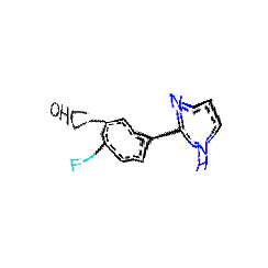 O=Cc1cc(-c2ncc[nH]2)ccc1F